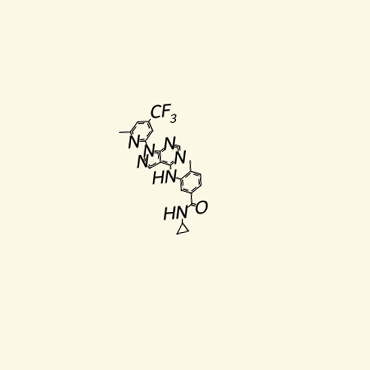 Cc1cc(C(F)(F)F)cc(-n2ncc3c(Nc4cc(C(=O)NC5CC5)ccc4C)ncnc32)n1